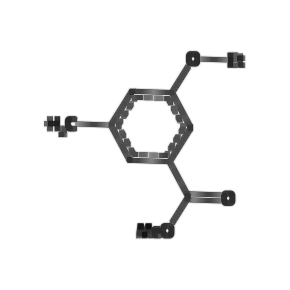 [CH2]c1cc(OCC)cc(C(=O)OC)c1